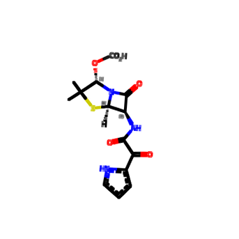 CC1(C)S[C@@H]2[C@H](NC(=O)C(=O)c3ccc[nH]3)C(=O)N2[C@H]1OC(=O)O